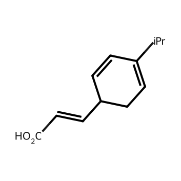 CC(C)C1=CCC(C=CC(=O)O)C=C1